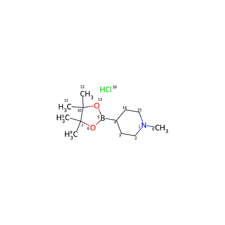 CN1CCC(B2OC(C)(C)C(C)(C)O2)CC1.Cl